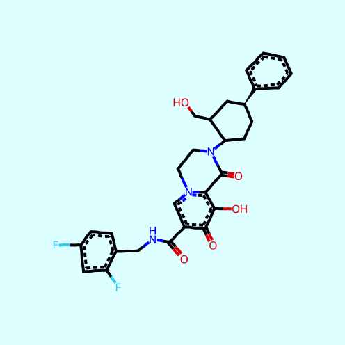 O=C(NCc1ccc(F)cc1F)c1cn2c(c(O)c1=O)C(=O)N(C1CC[C@H](c3ccccc3)CC1CO)CC2